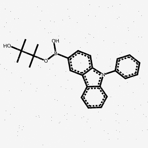 CC(C)(O)C(C)(C)OB(O)c1ccc2c(c1)c1ccccc1n2-c1ccccc1